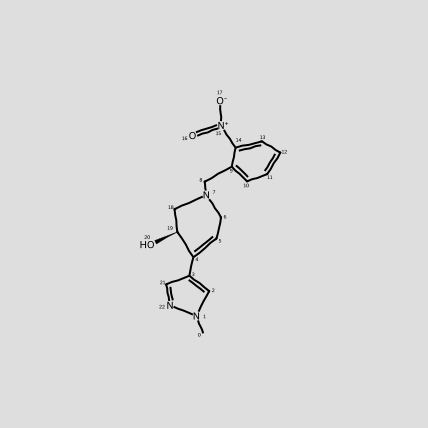 Cn1cc(C2=CCN(Cc3ccccc3[N+](=O)[O-])C[C@@H]2O)cn1